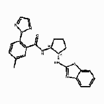 Cc1ccc(-n2nccn2)c(C(=O)N[C@H]2CCC[C@@H]2Nc2nc3ccccc3s2)c1